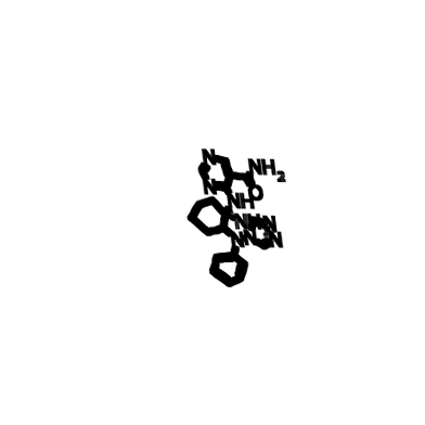 NC(=O)c1cncnc1N[C@@]1(N)CCCCC1N(c1ccccc1)n1cnnc1